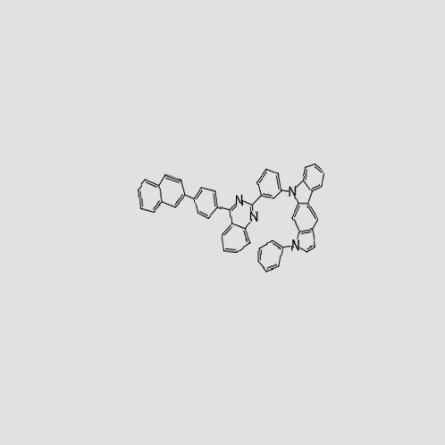 c1ccc(-n2ccc3cc4c5ccccc5n(-c5cccc(-c6nc(-c7ccc(-c8ccc9ccccc9c8)cc7)c7ccccc7n6)c5)c4cc32)cc1